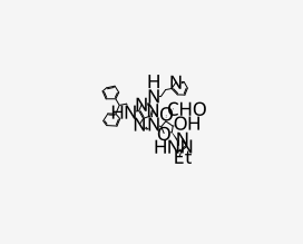 CCc1nnc([C@H]2O[C@@H](n3cnc4c(NCC(c5ccccc5)c5ccccc5)nc(NCCc5ccccn5)nc43)[C@H](OC=O)[C@@H]2O)[nH]1